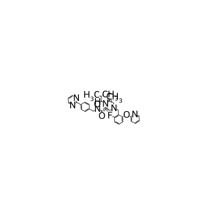 CC(C)C(=O)N1[C@H](C)CN(Cc2c(F)cccc2Oc2ccccn2)C[C@@H]1C(=O)NCc1ccc(-c2ncccn2)cc1